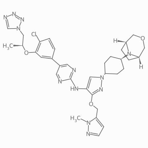 C[C@@H](Cn1cnnn1)Oc1cc(-c2cnc(Nc3cn([C@H]4CC[C@H](N5[C@@H]6CC[C@H]5COC6)CC4)nc3OCc3ccnn3C)nc2)ccc1Cl